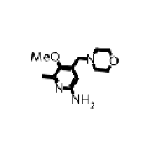 COc1c(CN2CCOCC2)cc(N)nc1C